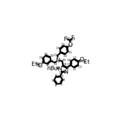 CCCCn1c(-c2ccccc2)nc(-c2ccc(OCC)cc2)c1CN(Cc1ccc(OC(F)F)cc1)Cc1cccc(OCC)c1